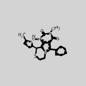 Cc1ccc(C2SCCn3c(-c4ccccc4)c4c(=O)n(C)c(=O)n(C)c4c32)s1